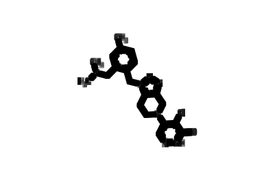 Cc1ccc(Cn2nnc3c2CCN(c2cn[nH]c(=O)c2Cl)C3)c(CN(C)C)c1